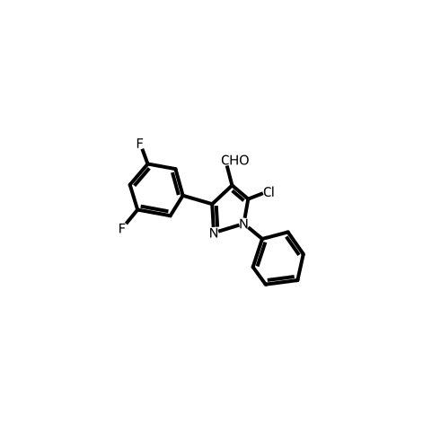 O=Cc1c(-c2cc(F)cc(F)c2)nn(-c2ccccc2)c1Cl